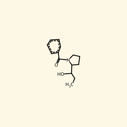 CCC(O)C1CCCN1C(=O)c1ccccc1